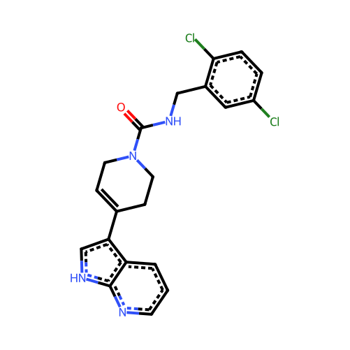 O=C(NCc1cc(Cl)ccc1Cl)N1CC=C(c2c[nH]c3ncccc23)CC1